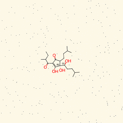 CCC(C)C(=O)C1=C(O)[C@](O)([C@@H](O)CCC(C)C)C(CCC(C)C)C1=O